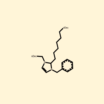 CCCCCCCCCCCCCCCCC1N(CCCCCCCCCCC)C=CN1Cc1ccccc1